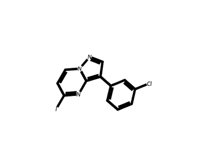 Clc1cccc(-c2cnn3ccc(I)nc23)c1